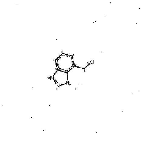 ClCc1cccc2c1[N]N=N2